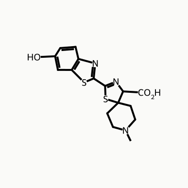 CN1CCC2(CC1)SC(c1nc3ccc(O)cc3s1)=NC2C(=O)O